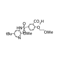 COCCOc1ccc(S(=O)(=O)Nc2cc(C(C)(C)C)cnc2OC)cc1C(=O)O